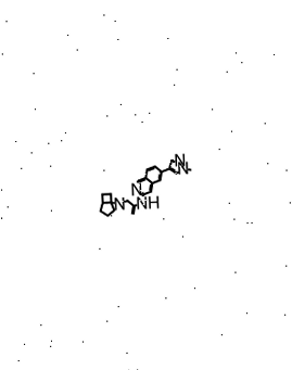 C=C(CN1C2CCC3CCC321)Nc1cc2cc(-c3cnn(C)c3)ccc2cn1